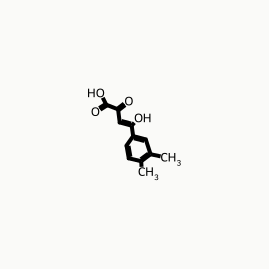 Cc1ccc(/C(O)=C/C(=O)C(=O)O)cc1C